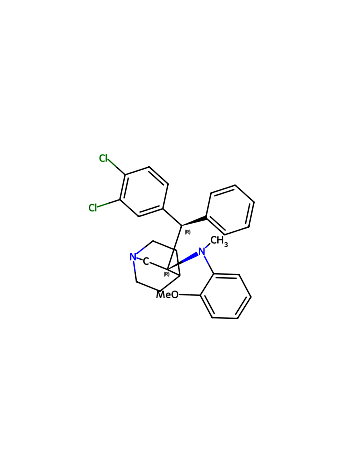 COc1ccccc1N(C)[C@]1([C@H](c2ccccc2)c2ccc(Cl)c(Cl)c2)CN2CCC1CC2